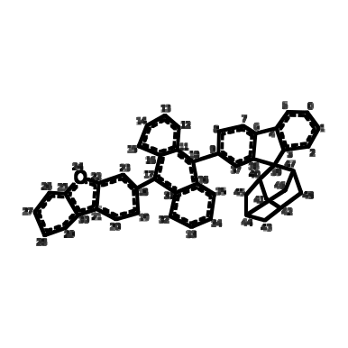 c1ccc2c(c1)-c1ccc(-c3c4ccccc4c(-c4ccc5c(c4)oc4ccccc45)c4ccccc34)cc1C21C2CC3CC(C2)CC1C3